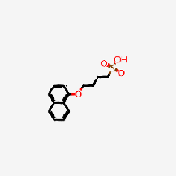 O=S(=O)(O)CCCCOc1[c]ccc2ccccc12